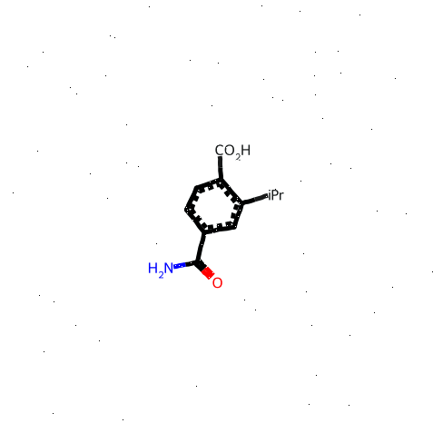 CC(C)c1cc(C(N)=O)ccc1C(=O)O